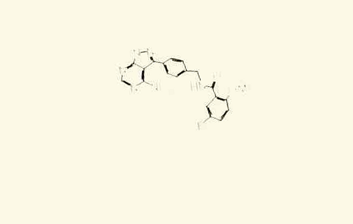 COc1ccc(F)cc1C(=O)NCc1ccc(-c2n[nH]c3ncnc(N)c23)cc1